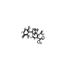 C=C(C)c1c(C(=O)OC)ccn2c(-c3c(F)ccc(F)c3F)nnc12